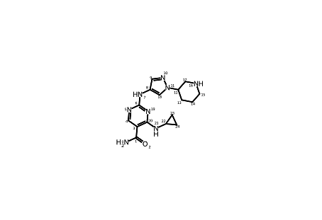 NC(=O)c1cnc(Nc2cnn(C3CCCNC3)c2)nc1NC1CC1